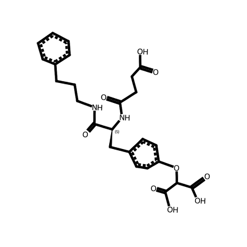 O=C(O)CCC(=O)N[C@@H](Cc1ccc(OC(C(=O)O)C(=O)O)cc1)C(=O)NCCCc1ccccc1